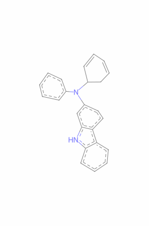 C1=CCC(N(c2ccccc2)c2ccc3c(c2)[nH]c2ccccc23)C=C1